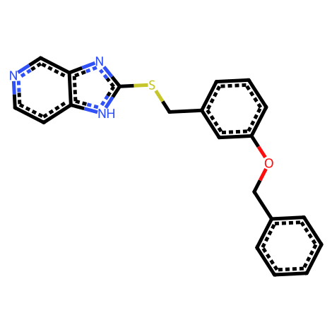 c1ccc(COc2cccc(CSc3nc4cnccc4[nH]3)c2)cc1